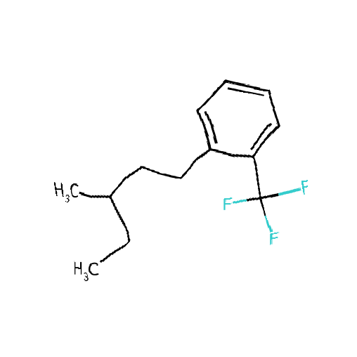 CCC(C)CCc1ccccc1C(F)(F)F